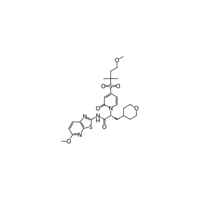 COCCC(C)(C)S(=O)(=O)c1ccn([C@@H](CC2CCOCC2)C(=O)Nc2nc3ccc(OC)nc3s2)c(=O)c1